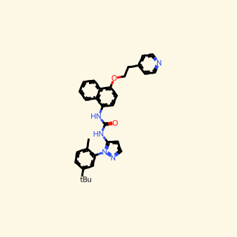 Cc1ccc(C(C)(C)C)cc1-n1nccc1NC(=O)Nc1ccc(OCCc2ccncc2)c2ccccc12